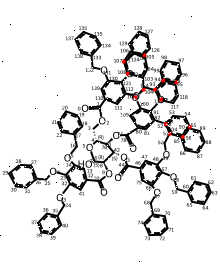 O=C(OC[C@H]1O[C@H](O)[C@H](OC(=O)c2cc(OCc3ccccc3)c(OCc3ccccc3)c(OCc3ccccc3)c2)[C@@H](OC(=O)c2cc(OCc3ccccc3)c(OCc3ccccc3)c(OCc3ccccc3)c2)[C@@H]1OC(=O)c1cc(OCc2ccccc2)c(OCc2ccccc2)c(OCc2ccccc2)c1)c1cc(OCc2ccccc2)c(OCc2ccccc2)c(OCc2ccccc2)c1